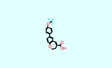 O=C(O)C1=Cc2cc(-c3ccc(OC(F)(F)F)cc3)ccc2OCC1